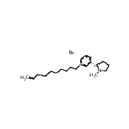 C=CCCCCCCCC[n+]1cccc([C@@H]2CCCN2C)c1.[Br-]